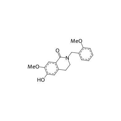 COc1cc2c(cc1O)CCN(Cc1ccccc1OC)C2=O